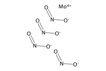 O=N[O-].O=N[O-].O=N[O-].O=N[O-].[Mo+4]